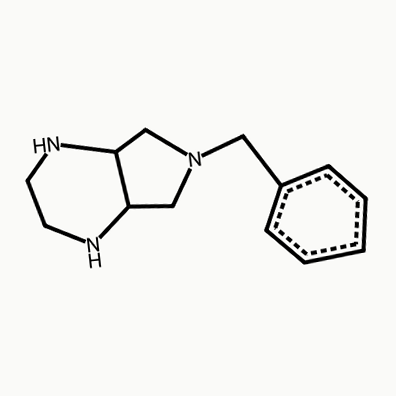 c1ccc(CN2CC3NCCNC3C2)cc1